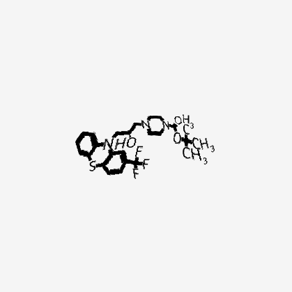 CC(C)(C)OC(=O)N1CCN(C[C@H](O)CN2c3ccccc3Sc3ccc(C(F)(F)F)cc32)CC1